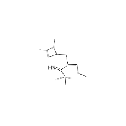 CC/C=C(/CC1CC(C)C1C)C(=N)C(C)(C)C